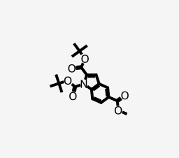 COC(=O)c1ccc2c(c1)cc(C(=O)OC(C)(C)C)n2C(=O)OC(C)(C)C